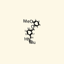 COc1ccccc1OCc1cccc(CNC(C)(C)C)c1